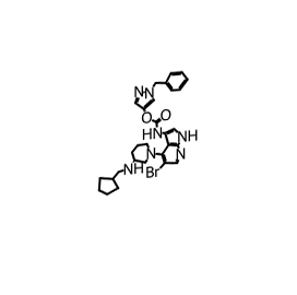 O=C(Nc1c[nH]c2ncc(Br)c(N3CCC[C@@H](NCC4CCCC4)C3)c12)Oc1cnn(Cc2ccccc2)c1